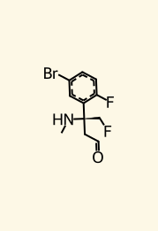 CN[C@@](CF)(CC=O)c1cc(Br)ccc1F